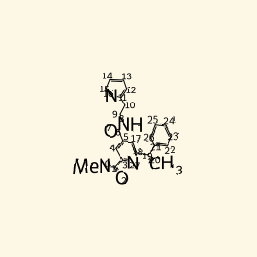 CNC(=O)c1cc(C(=O)NCCc2ccccn2)cc([C@@H](C)c2ccccc2)n1